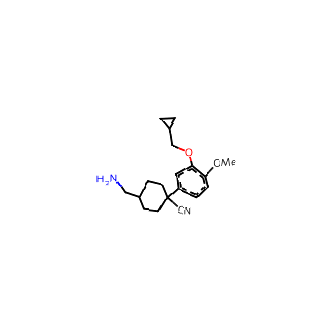 COc1ccc(C2(C#N)CCC(CN)CC2)cc1OCC1CC1